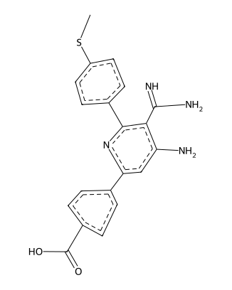 CSc1ccc(-c2nc(-c3ccc(C(=O)O)cc3)cc(N)c2C(=N)N)cc1